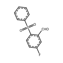 O=Cc1cc(F)ccc1S(=O)(=O)c1ccccc1